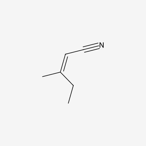 CC/C(C)=C\C#N